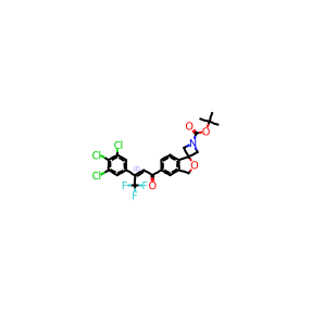 CC(C)(C)OC(=O)N1CC2(C1)OCc1cc(C(=O)/C=C(/c3cc(Cl)c(Cl)c(Cl)c3)C(F)(F)F)ccc12